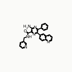 Nc1nc(-c2ccccc2)c(-c2ccc3ncccc3c2)nc1C(=O)NCc1cccnc1